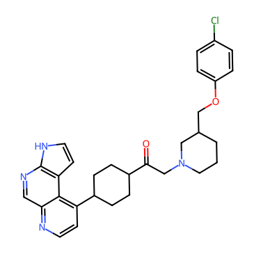 O=C(CN1CCCC(COc2ccc(Cl)cc2)C1)C1CCC(c2ccnc3cnc4[nH]ccc4c23)CC1